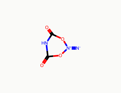 [N-]=[N+]1OC(=O)NC(=O)O1